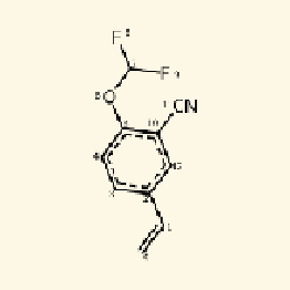 C=[C]c1ccc(OC(F)F)c(C#N)c1